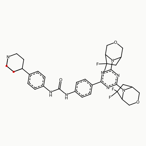 O=C(Nc1ccc(-c2nc(N3C4COCC3C(F)(F)C4)nc(N3C4COCC3C(F)(F)C4)n2)cc1)Nc1ccc(C23CCN(CC2)CC3)cc1